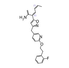 C=C(N)/C(=C\C=C/C)c1cc(Cc2ccc(OCCc3ccccc3F)nc2)no1